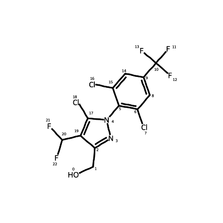 OCc1nn(-c2c(Cl)cc(C(F)(F)F)cc2Cl)c(Cl)c1C(F)F